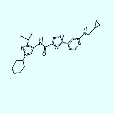 C[C@H]1CC[C@H](n2cc(NC(=O)c3coc(-c4ccnc(NCC5CC5)c4)n3)c(C(F)F)n2)CC1